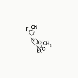 CCN1CC2(CCN(Cc3ccc(C#N)c(F)c3)CC2)OC(C)C1=O